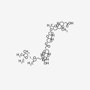 C=C1C[C@H](CC[C@]23C[C@@H](O)C(O2)[C@@H]2O[C@H]4CC[C@H](CC(=O)O[C@H]5CO[C@H]6C[C@H]7O[C@@H](O[C@H]8CC[C@@]9(C[C@H](C)[C@@H]%10C[C@H](CC(=O)O)CC[C@@H]%10O9)O[C@H]8C)CC7OC6C5)O[C@@H]4[C@H](O3)C2I)O[C@H]1CC[C@H]1C[C@@H](C)C(=C)[C@@H](CC)O1